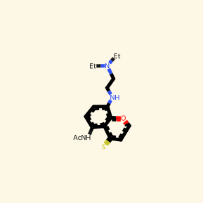 CCN(CC)CCNc1ccc(NC(C)=O)c2c(=S)ccoc12